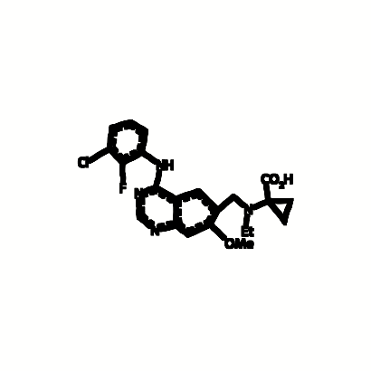 CCN(Cc1cc2c(Nc3cccc(Cl)c3F)ncnc2cc1OC)C1(C(=O)O)CC1